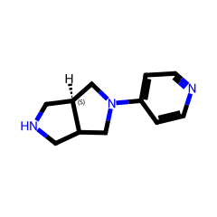 c1cc(N2CC3CNC[C@H]3C2)ccn1